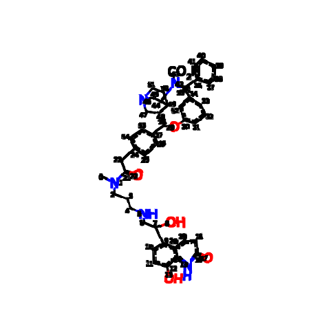 CN(CCCNCC(O)c1ccc(O)c2[nH]c(=O)ccc12)C(=O)Cc1ccc(COc2cccc([C@H](c3ccccc3)N(C(=O)O)C3CN4CCC3CC4)c2)cc1